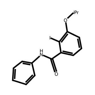 CC(C)Oc1cccc(C(=O)Nc2ccccc2)c1I